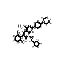 Nc1nc(-c2ccc(N3CCOCC3)cc2)nc2c1cc(-c1c(F)cccc1Cl)c(=O)n2OCC1CCCC1